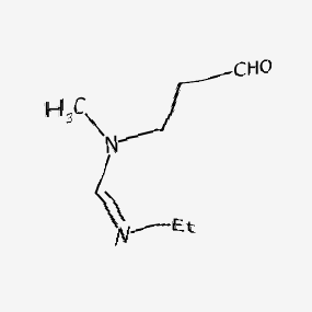 CC/N=C\N(C)CCC=O